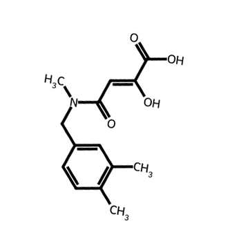 Cc1ccc(CN(C)C(=O)/C=C(\O)C(=O)O)cc1C